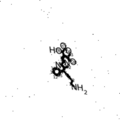 NCCC#Cc1c2c(nc3ccccc13)-c1cc3c(c(=O)n1C2)COC(=O)[C@H]3O